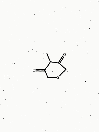 CC1C(=O)CSCC1=O